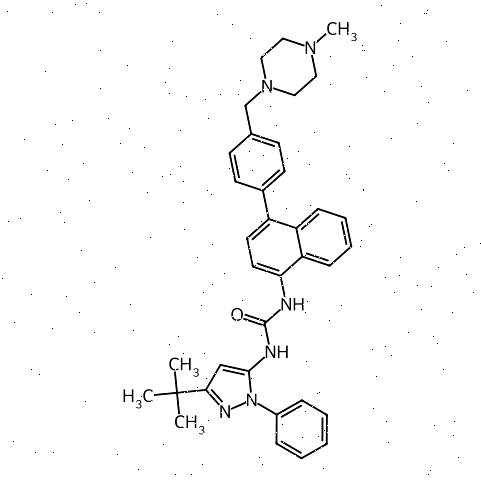 CN1CCN(Cc2ccc(-c3ccc(NC(=O)Nc4cc(C(C)(C)C)nn4-c4ccccc4)c4ccccc34)cc2)CC1